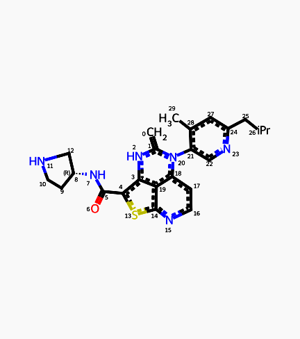 C=c1[nH]c2c(C(=O)N[C@@H]3CCNC3)sc3nccc(c32)n1-c1cnc(CC(C)C)cc1C